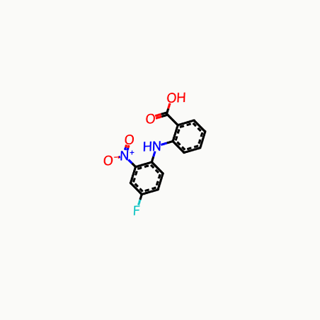 O=C(O)c1ccccc1Nc1ccc(F)cc1[N+](=O)[O-]